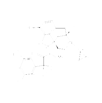 C=C(C(OC)[C@@H]1Oc2c(O)ccc3c2[C@@]12CCN(CC1CC1)[C@@H](C3)C2)C(C)(O)c1cc(C)cc(C)c1